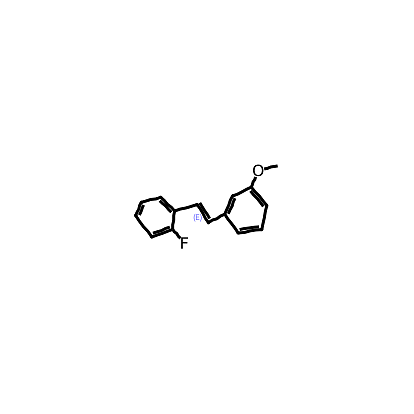 COc1cccc(/C=C/c2ccccc2F)c1